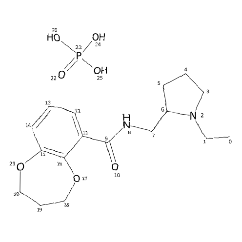 CCN1CCCC1CNC(=O)c1cccc2c1OCCCO2.O=P(O)(O)O